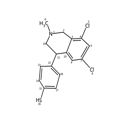 CN1Cc2c(Cl)cc(Cl)cc2C(c2ccc(S)cc2)C1